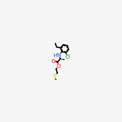 CCc1cccc(Cl)c1N[C@@H](C)C(=O)OCCSC